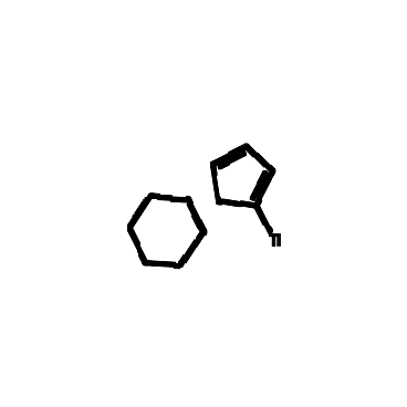 C1CCCCC1.[Ti][C]1=CC=CC1